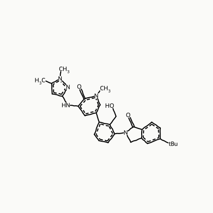 Cc1cc(Nc2cc(-c3cccc(N4Cc5cc(C(C)(C)C)ccc5C4=O)c3CO)cn(C)c2=O)nn1C